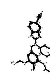 CCOc1cc(CN(c2nc3cc(C#N)ccc3o2)C2CCNCC2)cc(OCC)c1F